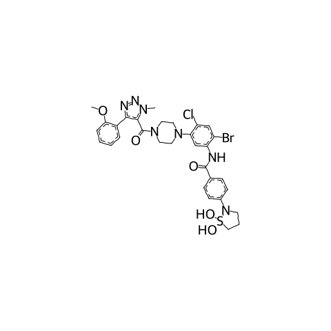 COc1ccccc1-c1nnn(C)c1C(=O)N1CCN(c2cc(NC(=O)c3ccc(N4CCCS4(O)O)cc3)c(Br)cc2Cl)CC1